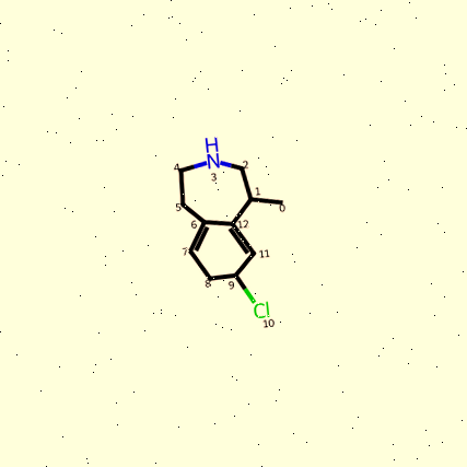 CC1CNCCC2=CCC(Cl)C=C21